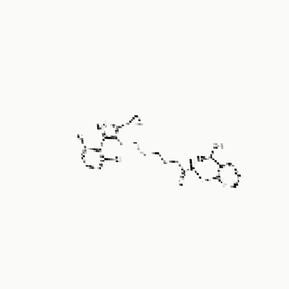 O=C(CCCCOCc1c(-c2c(Cl)cccc2Cl)noc1C1CC1)NCc1ccccc1C(=O)O